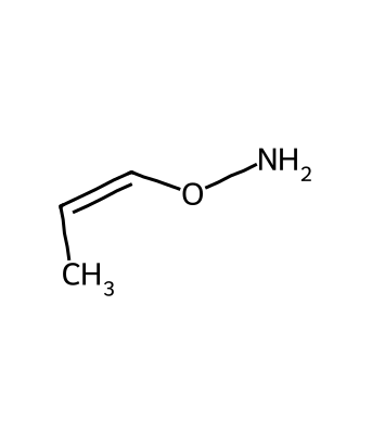 C/C=C\ON